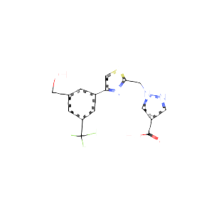 O=C(O)c1cnn(Cc2nc(-c3cc(CO)cc(C(F)(F)F)c3)cs2)c1